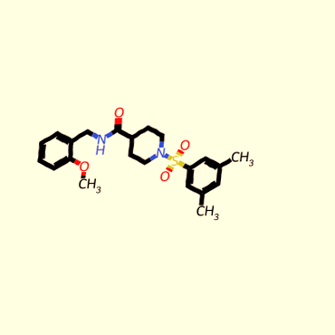 COc1ccccc1CNC(=O)C1CCN(S(=O)(=O)c2cc(C)cc(C)c2)CC1